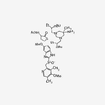 CC(=O)NC1CCSC1=O.CCCCC(CC)CN1CN(CC(CC)CCCC)CC(C)(N)C1.COc1ccc2[nH]c([S+]([O-])Cc3ncc(C)c(OC)c3C)nc2c1